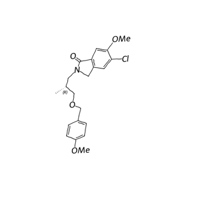 COc1ccc(COC[C@H](C)CN2Cc3cc(Cl)c(OC)cc3C2=O)cc1